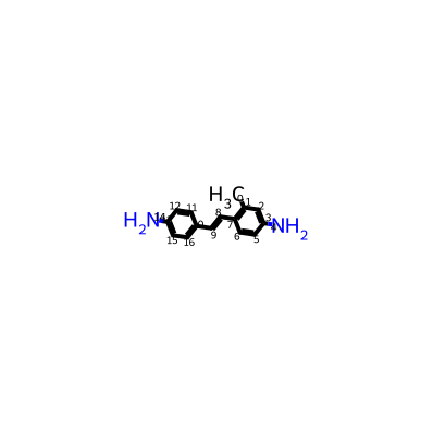 Cc1cc(N)ccc1C=Cc1ccc(N)cc1